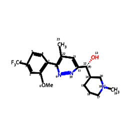 COc1cc(C(F)(F)F)ccc1-c1nnc([C@H](O)C2CCCN(C)C2)cc1C